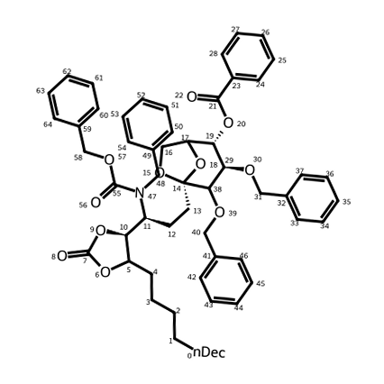 CCCCCCCCCCCCCCC1OC(=O)O[C@H]1[C@H](CC[C@]12OCC(O1)[C@H](OC(=O)c1ccccc1)[C@@H](OCc1ccccc1)C2OCc1ccccc1)N(Cc1ccccc1)C(=O)OCc1ccccc1